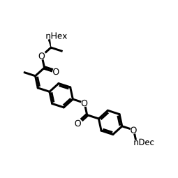 CCCCCCCCCCOc1ccc(C(=O)Oc2ccc(C=C(C)C(=O)O[C@H](C)CCCCCC)cc2)cc1